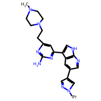 CC(C)n1cc(-c2cnc3[nH]cc(-c4cc(CCN5CCN(C)CC5)nc(N)n4)c3c2)cn1